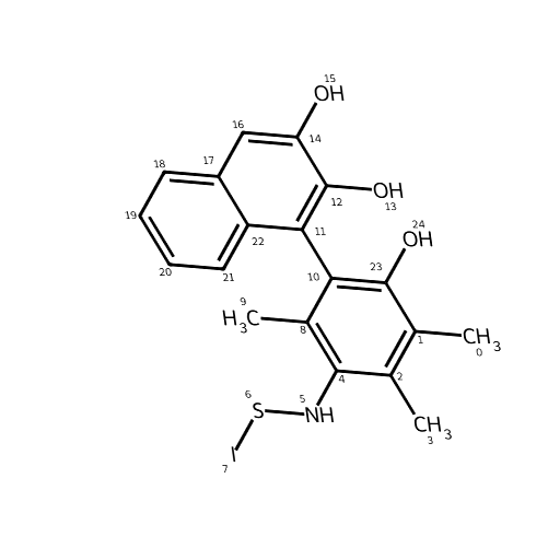 Cc1c(C)c(NSI)c(C)c(-c2c(O)c(O)cc3ccccc23)c1O